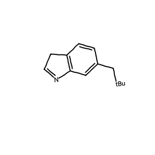 CC(C)(C)Cc1ccc2c(c1)N=CC2